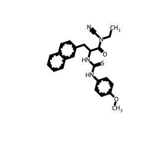 CCN(C#N)C(=O)C(Cc1ccc2ccccc2c1)NC(=S)Nc1ccc(OC)cc1